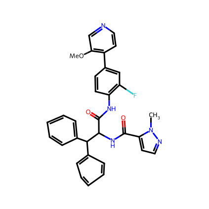 COc1cnccc1-c1ccc(NC(=O)C(NC(=O)c2ccnn2C)C(c2ccccc2)c2ccccc2)c(F)c1